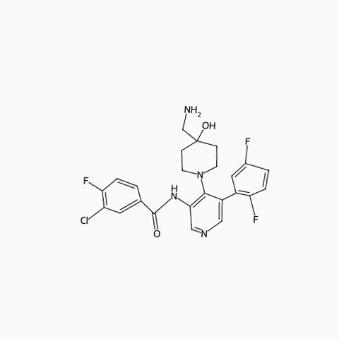 NCC1(O)CCN(c2c(NC(=O)c3ccc(F)c(Cl)c3)cncc2-c2cc(F)ccc2F)CC1